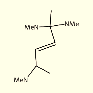 CNC(C)C=CC(C)(NC)NC